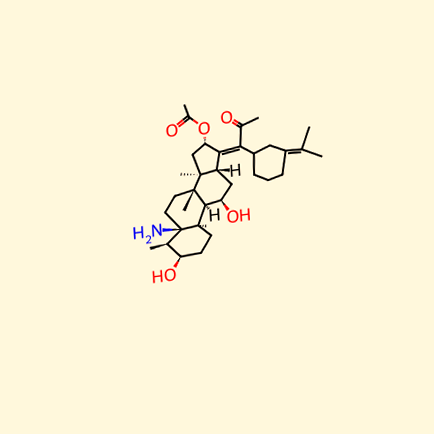 CC(=O)O[C@H]1C[C@@]2(C)[C@@H](C[C@@H](O)[C@@H]3[C@]2(C)CC[C@@]2(N)[C@H](C)[C@H](O)CC[C@]32C)/C1=C(/C(C)=O)C1CCCC(=C(C)C)C1